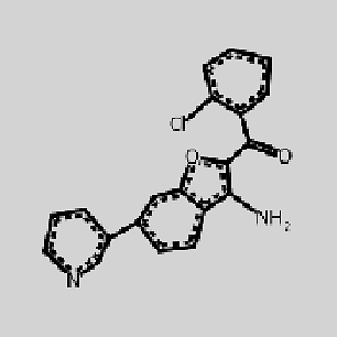 Nc1c(C(=O)c2ccccc2Cl)oc2cc(-c3cccnc3)ccc12